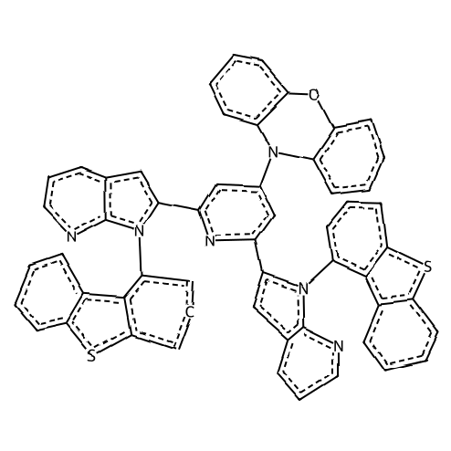 c1ccc2c(c1)Oc1ccccc1N2c1cc(-c2cc3cccnc3n2-c2cccc3sc4ccccc4c23)nc(-c2cc3cccnc3n2-c2cccc3sc4ccccc4c23)c1